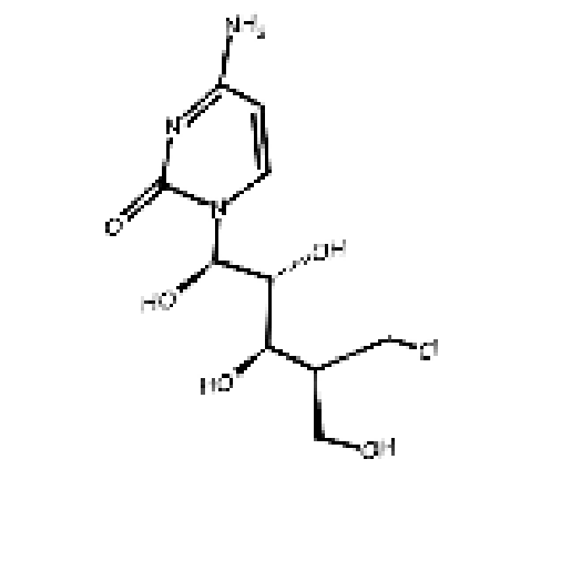 Nc1ccn([C@H](O)[C@H](O)[C@H](O)[C@H](CO)CCl)c(=O)n1